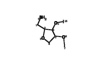 BCC1OCC(OI)C1OI